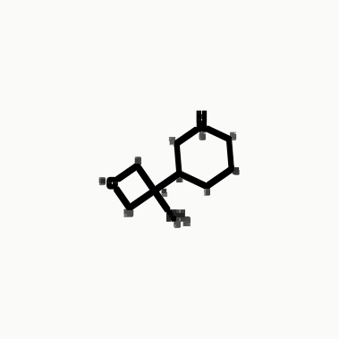 NC1(C2CCCNC2)COC1